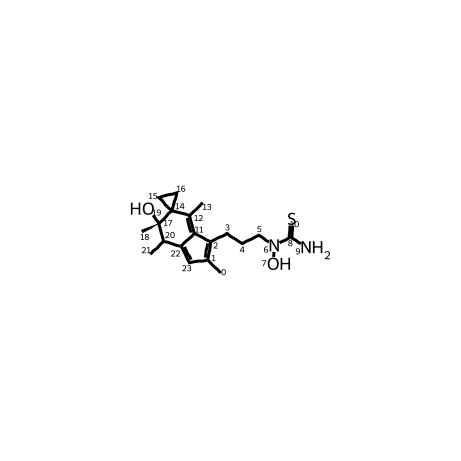 CC1=C(CCCN(O)C(N)=S)C2=C(C)C3(CC3)[C@@](C)(O)C(C)C2=C1